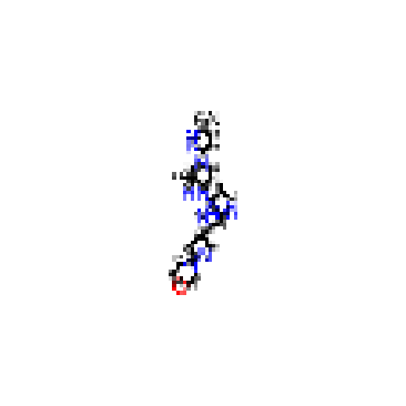 Cc1cnc2cc(-c3ccc(N4CCOCC4)nc3)nn2c1NC1CCN(c2ccc(C#N)nn2)CC1(C)C